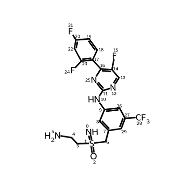 N=S(=O)(CCN)Cc1cc(Nc2ncc(F)c(-c3ccc(F)cc3F)n2)cc(C(F)(F)F)c1